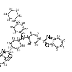 c1ccc2oc(-c3ccc(N(c4ccc(-c5nc6ccccc6o5)cc4)c4ccc(C5CCCCC5)cc4)cc3)nc2c1